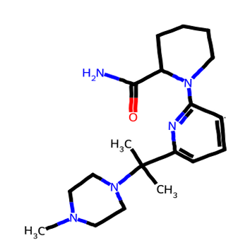 CN1CCN(C(C)(C)c2cc[c]c(N3CCCCC3C(N)=O)n2)CC1